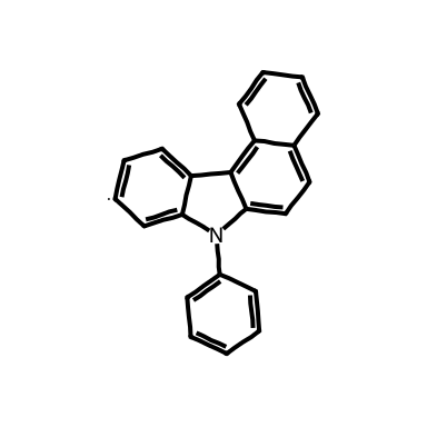 [c]1ccc2c3c4ccccc4ccc3n(-c3ccccc3)c2c1